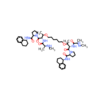 CN[C@@H](C)C(=O)N[C@H](C(=O)N1CCCC1C(=O)N[C@@H]1CCCc2ccccc21)C(C)OCCCCCCOC(C)[C@H](NC(=O)[C@H](C)NC)C(=O)N1CCCC1C(=O)N[C@@H]1CCCc2ccccc21